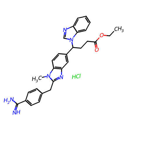 CCOC(=O)CCC(c1ccc2c(c1)nc(Cc1ccc(C(=N)N)cc1)n2C)n1cnc2ccccc21.Cl